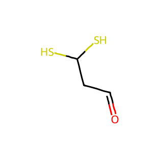 O=CCC(S)S